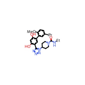 CCNC(=O)N1CCC(n2nnnc2-c2cc(-c3cc(C(C)C)ccc3OC)c(O)cc2O)CC1